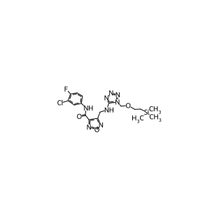 C[Si](C)(C)CCOCn1nnnc1NCc1nonc1C(=O)Nc1ccc(F)c(Cl)c1